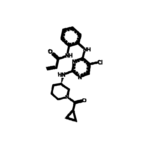 C=CC(=O)Nc1ccccc1Nc1nc(N[C@H]2CCCN(C(=O)C3CC3)C2)ncc1Cl